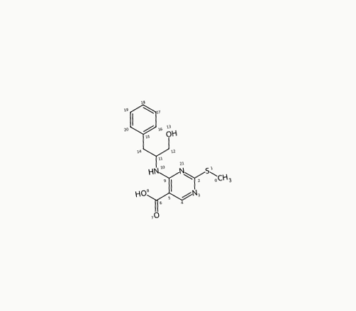 CSc1ncc(C(=O)O)c(NC(CO)Cc2ccccc2)n1